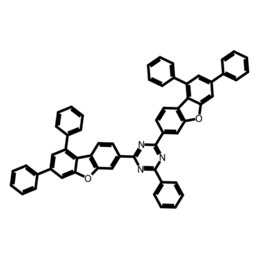 c1ccc(-c2cc(-c3ccccc3)c3c(c2)oc2cc(-c4nc(-c5ccccc5)nc(-c5ccc6c(c5)oc5cc(-c7ccccc7)cc(-c7ccccc7)c56)n4)ccc23)cc1